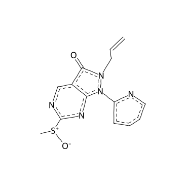 C=CCn1c(=O)c2cnc([S+](C)[O-])nc2n1-c1ccccn1